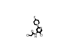 O=C(CCl)Nc1cc(N2CCC(F)CC2)ncc1Cl